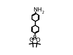 CC1(C)OB(C2=CCC(C3C=CC(N)=CC3)C=C2)OC1(C)C